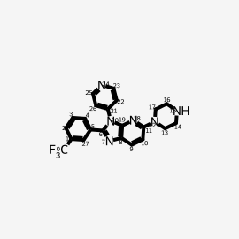 FC(F)(F)c1cccc(-c2nc3ccc(N4CCNCC4)nc3n2-c2ccncc2)c1